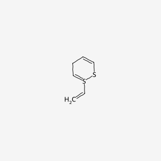 C=CS1=CCC=CS1